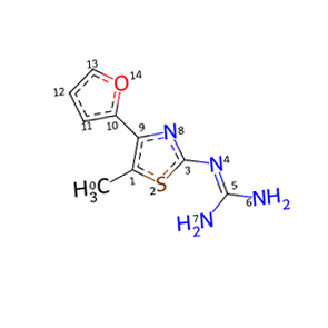 Cc1sc(N=C(N)N)nc1-c1ccco1